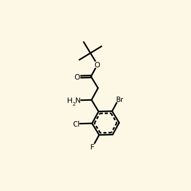 CC(C)(C)OC(=O)CC(N)c1c(Br)ccc(F)c1Cl